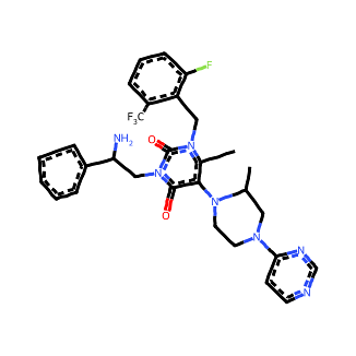 Cc1c(N2CCN(c3ccncn3)CC2C)c(=O)n(CC(N)c2ccccc2)c(=O)n1Cc1c(F)cccc1C(F)(F)F